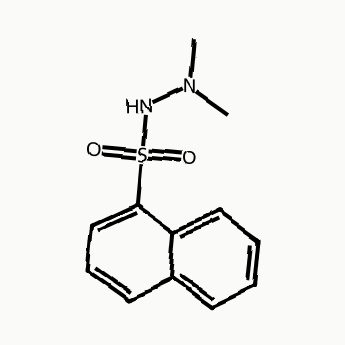 CN(C)NS(=O)(=O)c1cccc2ccccc12